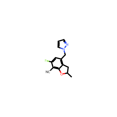 CC1Cc2c(Cn3cccn3)cc(F)c(C#N)c2O1